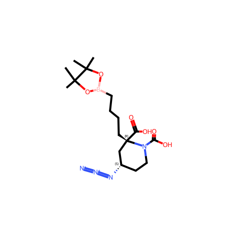 CC1(C)OB(CCCC[C@]2(C(=O)O)C[C@@H](N=[N+]=[N-])CCN2C(=O)O)OC1(C)C